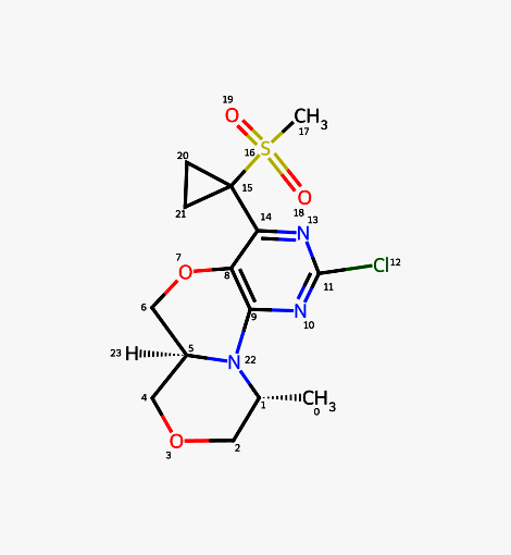 C[C@@H]1COC[C@H]2COc3c(nc(Cl)nc3C3(S(C)(=O)=O)CC3)N21